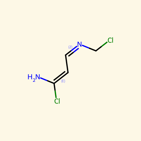 N/C(Cl)=C\C=N/CCl